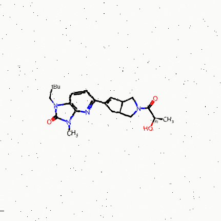 C[C@@H](O)C(=O)N1CC2C=C(c3ccc4c(n3)n(C)c(=O)n4CC(C)(C)C)CC2C1